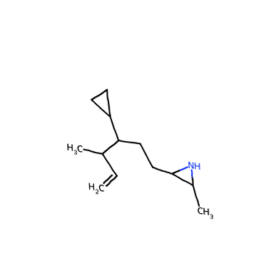 C=CC(C)C(CCC1NC1C)C1CC1